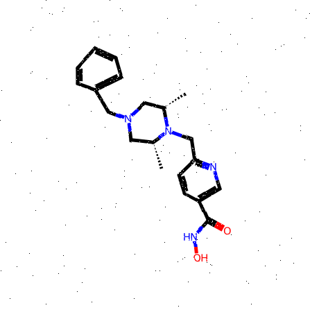 C[C@@H]1CN(Cc2ccccc2)C[C@H](C)N1Cc1ccc(C(=O)NO)cn1